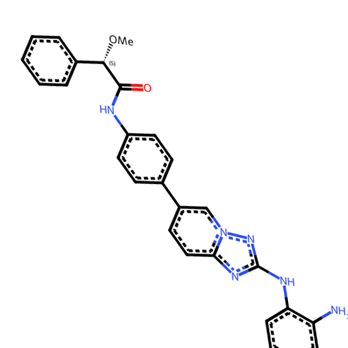 CO[C@H](C(=O)Nc1ccc(-c2ccc3nc(Nc4ccccc4N)nn3c2)cc1)c1ccccc1